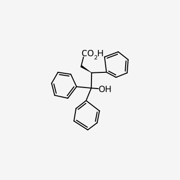 O=C(O)C[C@@H](c1ccccc1)C(O)(c1ccccc1)c1ccccc1